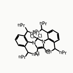 CCCC(CCC)c1cccc(C(CCC)CCC)c1N1C(Cl)=C(Cl)N(c2c(C(CCC)CCC)cccc2C(CCC)CCC)C1(Cl)Cl